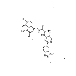 CC(C)C(Nc1nc(C2=CN3C(=O)N=NC3C=C2)ncc1F)C(=O)NCc1cc(=O)c(O)c2n1CCN(C(C)C)C2=O